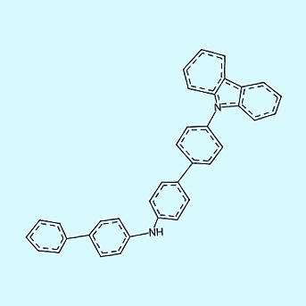 c1ccc(-c2ccc(Nc3ccc(-c4ccc(-n5c6ccccc6c6ccccc65)cc4)cc3)cc2)cc1